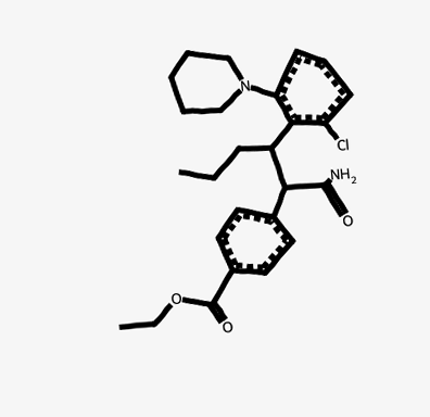 CCCC(c1c(Cl)cccc1N1CCCCC1)C(C(N)=O)c1ccc(C(=O)OCC)cc1